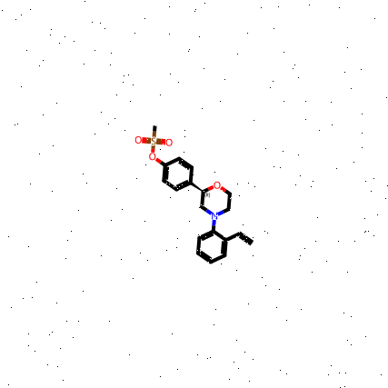 C=Cc1ccccc1N1CCO[C@H](c2ccc(OS(C)(=O)=O)cc2)C1